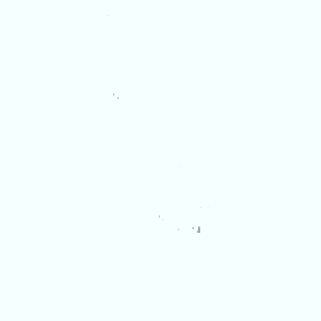 O=c1[nH]c(CSC2CCOCC2)nc2cc(OCC3CCN(CC#CCCl)CC3)cc(F)c12